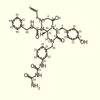 C=CCN1CC(=O)N2[C@@H](Cc3ccc(O)cc3)C(=O)N(Cc3cccc(NC(=O)NC(N)=O)c3)C[C@@H]2N1C(=O)NCc1ccccc1